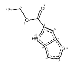 O=C(OCF)c1cc2occc2[nH]1